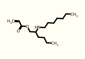 C=CC(=O)OCC(CCCC)NCCCCCCC